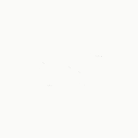 CNC(=O)c1ccc2c(c1)nc(-c1cc(OC)ccc1C)n2-c1ccc2c(c1)CCC(=O)N2